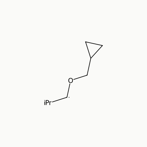 CC(C)[CH]OCC1CC1